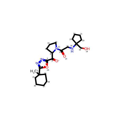 CC1(c2nnc(C(=O)C3CCCN3C(=O)CNC3(CO)CCCC3)o2)CCCCC1